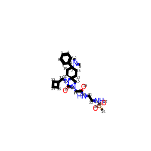 CN(C)[C@]1(c2ccccc2)CC[C@@]2(CC1)CN(CC(=O)NCCNS(C)(=O)=O)C(=O)N2CC1CCC1